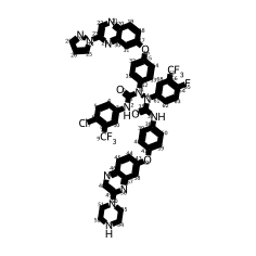 O=C(Nc1ccc(Cl)c(C(F)(F)F)c1)N(c1ccc(Oc2ccc3ncc(-n4cccn4)nc3c2)cc1)N(C(=O)Nc1ccc(Oc2ccc3ncc(N4CCNCC4)nc3c2)cc1)c1ccc(F)c(C(F)(F)F)c1